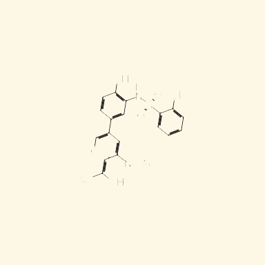 C\C=C(/C=C(\C=C(/C)CC)NC(C)=O)c1ccc(C)c(NS(=O)(=O)c2ccccc2Cl)c1